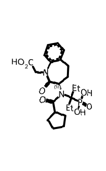 CCC(CC)(N(C(=O)C1CCCC1)[C@H]1CCc2ccccc2N(CC(=O)O)C1=O)P(=O)(O)O